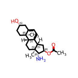 CC(=O)O[C@@H]1C[C@H]2C3=CC=C4C[C@@H](O)CC[C@]4(C)[C@H]3CC[C@]2(C)[C@H]1N